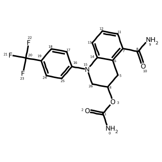 NC(=O)OC1Cc2c(C(N)=O)cccc2N(c2ccc(C(F)(F)F)cc2)C1